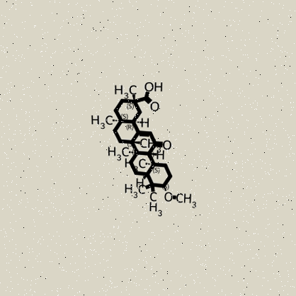 CO[C@H]1CC[C@]2(C)[C@H]3C(=O)C=C4[C@@H]5C[C@@](C)(C(=O)O)CC[C@]5(C)CC[C@@]4(C)[C@]3(C)CC[C@H]2C1(C)C